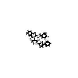 O=C(Nc1nc(-c2ccccc2)cs1)C1CSC(c2cccnc2)N1C(=O)OCc1ccccc1